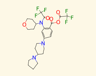 O=C(OC(=O)C(F)(F)F)c1ccc(N2CCC(N3CCCC3)CC2)cc1N(C(=O)C(F)(F)F)C1CCOCC1